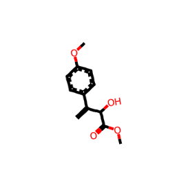 C=C(c1ccc(OC)cc1)C(O)C(=O)OC